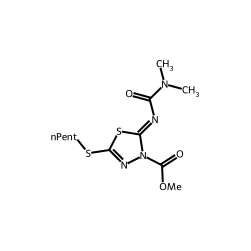 CCCCCSc1nn(C(=O)OC)c(=NC(=O)N(C)C)s1